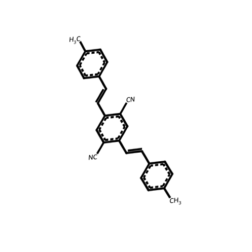 Cc1ccc(/C=C/c2cc(C#N)c(/C=C/c3ccc(C)cc3)cc2C#N)cc1